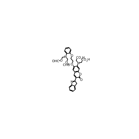 O=COCN(COC=O)c1ccccc1OCCOc1cc2cc(C3=Nc4ccccc4C3)c(=O)oc2cc1N(CC(=O)O)CC(=O)O